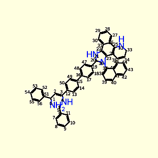 NC(/C=C(\NCc1ccccc1)c1ccc(-c2ccc(C3Nc4c(c5c(c6ccccc46)NCC=C5)N3c3cccc4ccccc34)cc2)cc1)c1ccccc1